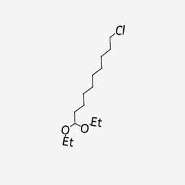 CCOC(CCCCCCCCCCl)OCC